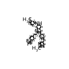 Cc1cc(Nc2ccc(CN(C(=O)C=Cc3ccc(C(F)(F)F)cc3)C3CCN(Cc4cnc(C)nc4)CC3)cc2)ccn1